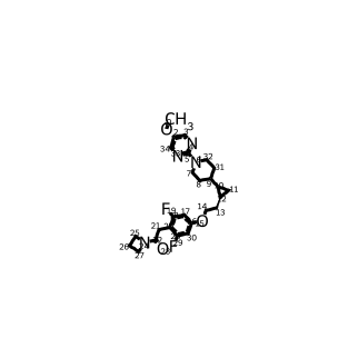 COc1cnc(N2CCC(C3C[C@H]3CCOc3cc(F)c(CC(=O)N4CCC4)c(F)c3)CC2)nc1